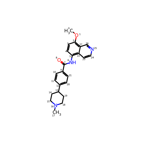 COc1ccc(NC(=O)c2ccc(C3CCN(C)CC3)cc2)c2ccncc12